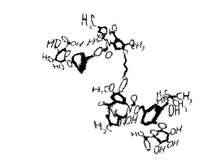 C=C1C[C@H]2C(O)N(C(=O)OCc3ccc(O[C@@H]4O[C@H](C(=O)O)[C@@H](O)[C@H](O)[C@H]4O)cc3)c3cc(OCCCCCOc4cc5c(cc4OC)C(=O)N4CC(=C)C[C@H]4C(O)N5C(=O)OCc4ccc(O[C@@H]5O[C@H](C(=O)O)[C@@H](O)[C@H](O)[C@H]5O)c(C(O)NC(C)(C)C)c4)c(OC)cc3C(=O)N2C1